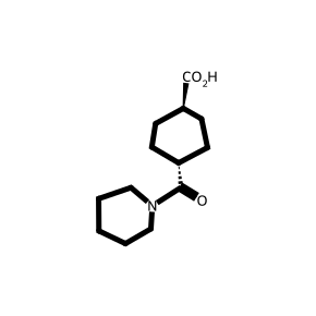 O=C(O)[C@H]1CC[C@H](C(=O)N2CCCCC2)CC1